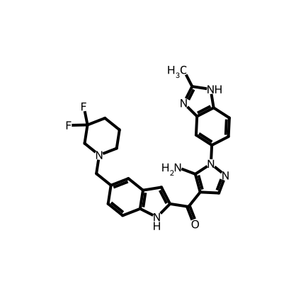 Cc1nc2cc(-n3ncc(C(=O)c4cc5cc(CN6CCCC(F)(F)C6)ccc5[nH]4)c3N)ccc2[nH]1